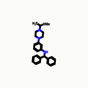 COC(C)N1CCN(c2cccc(NC(c3ccccc3)c3ccccc3)c2)CC1